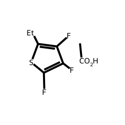 CC(=O)O.CCc1sc(F)c(F)c1F